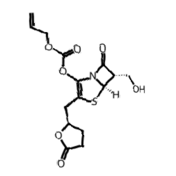 C=CCOC(=O)OC1=C(C[C@H]2CCC(=O)O2)S[C@@H]2[C@@H](CO)C(=O)N12